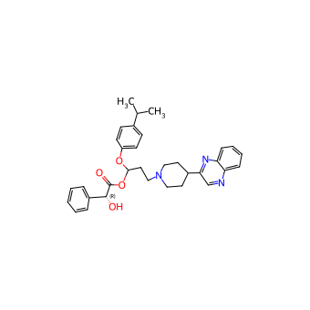 CC(C)c1ccc(OC(CCN2CCC(c3cnc4ccccc4n3)CC2)OC(=O)[C@H](O)c2ccccc2)cc1